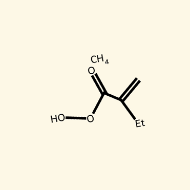 C.C=C(CC)C(=O)OO